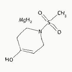 CS(=O)(=O)N1CC=C(O)CC1.[MgH2]